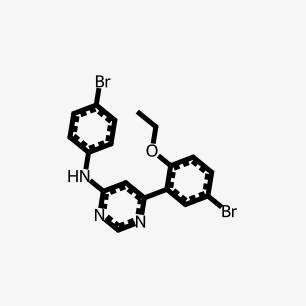 CCOc1ccc(Br)cc1-c1cc(Nc2ccc(Br)cc2)ncn1